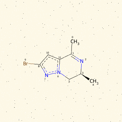 CC1=N[C@@H](C)Cn2nc(Br)cc21